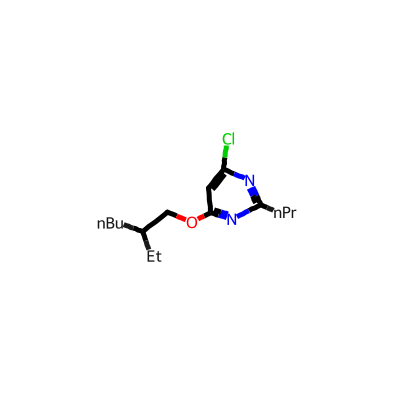 CCCCC(CC)COc1cc(Cl)nc(CCC)n1